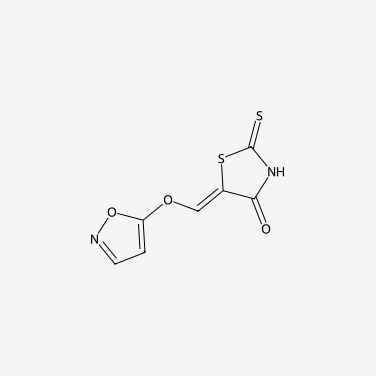 O=C1NC(=S)SC1=COc1ccno1